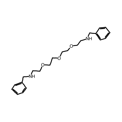 c1ccc(CNCCOCCOCCOCCNCc2ccccc2)cc1